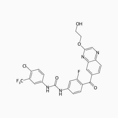 O=C(Nc1ccc(C(=O)c2ccc3ncc(OCCO)nc3c2)c(F)c1)Nc1ccc(Cl)c(C(F)(F)F)c1